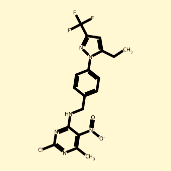 CCc1cc(C(F)(F)F)nn1-c1ccc(CNc2nc(Cl)nc(C)c2[N+](=O)[O-])cc1